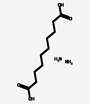 N.N.O=C(O)CCCCCCCCC(=O)O